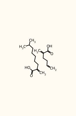 C=C(CCCCCC(C)C)C(=O)O.C=CCCC(=C)C(=O)O